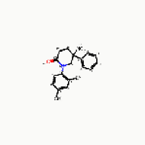 CCc1cc(C)ccc1N1CC(c2ccccc2)([N+](=O)[O-])CCC1=O